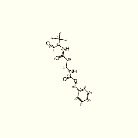 CC(C)(C)C(C=O)NC(=O)CCNC(=O)OCc1ccccc1